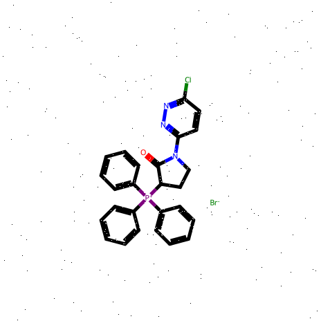 O=C1C([P+](c2ccccc2)(c2ccccc2)c2ccccc2)CCN1c1ccc(Cl)nn1.[Br-]